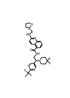 O=C(NCC(c1cnc(C(F)(F)F)nc1)N1CCC(F)(F)CC1)c1cccc2nc(NC[C@H]3CCCO3)ccc12